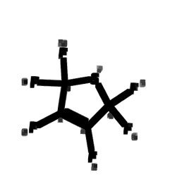 FC1=C(F)C(F)(F)SC1(F)F